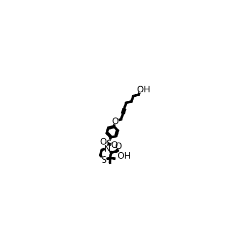 CC1(C)SCCN(S(=O)(=O)c2ccc(OCC#CCCCCO)cc2)C1C(=O)O